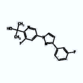 CC(C)(O)c1ncc(-n2ccc(-c3cc[c]c(F)c3)n2)cc1F